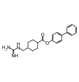 N=C(N)NCC1CCC(C(=O)Oc2ccc(-c3ccccc3)cc2)CC1